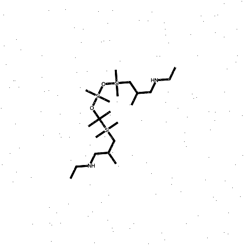 CCNCC(C)C[Si](C)(C)O[Si](C)(C)OC(C)(C)[Si](C)(C)CC(C)CNCC